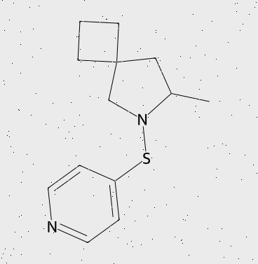 CC1CC2(CCC2)CN1Sc1ccncc1